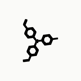 C=Cc1ccc(N(c2ccc(C)cc2)c2ccc(C=C)cc2)cc1